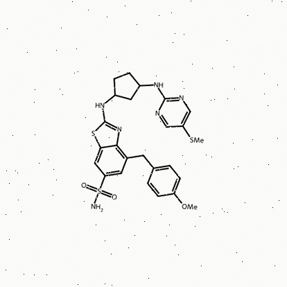 COc1ccc(Cc2cc(S(N)(=O)=O)cc3sc(NC4CCC(Nc5ncc(SC)cn5)C4)nc23)cc1